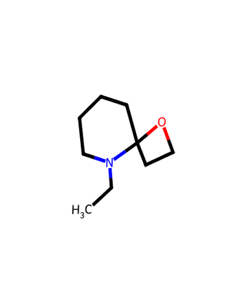 CCN1CCCCC12CCO2